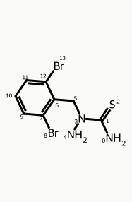 NC(=S)N(N)Cc1c(Br)cccc1Br